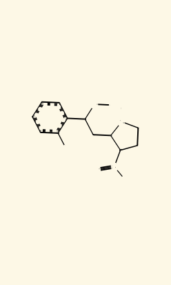 COC(CC1NCCC1[N+](=O)[O-])c1ccccc1F